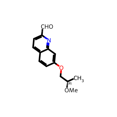 CO[C@H](C)COc1ccc2ccc(C=O)nc2c1